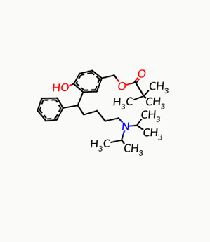 CC(C)N(CCCCC(c1ccccc1)c1cc(COC(=O)C(C)(C)C)ccc1O)C(C)C